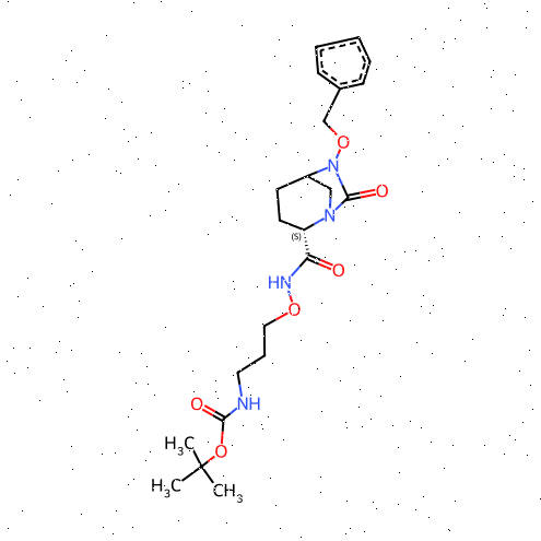 CC(C)(C)OC(=O)NCCCONC(=O)[C@@H]1CCC2CN1C(=O)N2OCc1ccccc1